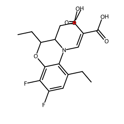 CCc1cc(F)c(F)c2c1N(C=C(C(=O)O)C(=O)O)C(COC)C(CC)O2